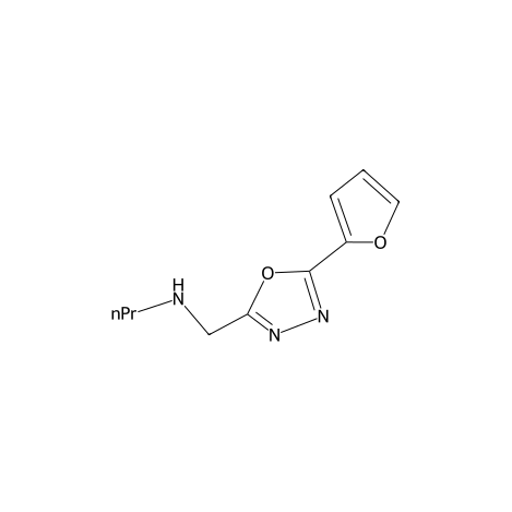 CCCNCc1nnc(-c2ccco2)o1